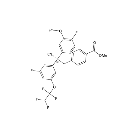 [C-]#[N+][C@](Cc1ccc(C(=O)OC)cc1)(c1cc(F)cc(OC(F)(F)C(F)F)c1)c1ccc(F)c(OC(C)C)c1